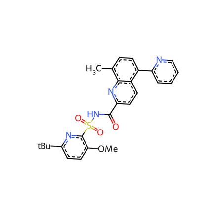 COc1ccc(C(C)(C)C)nc1S(=O)(=O)NC(=O)c1ccc2c(-c3ccccn3)ccc(C)c2n1